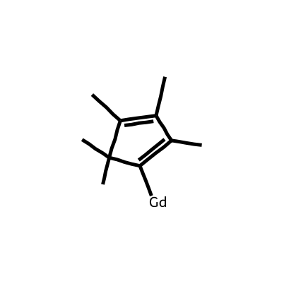 CC1=C(C)C(C)(C)[C]([Gd])=C1C